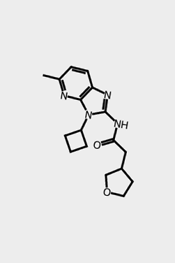 Cc1ccc2nc(NC(=O)CC3CCOC3)n(C3CCC3)c2n1